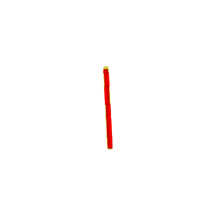 S=S=S=S=S=S=S=S=S=S=S=S=S=S=S=S=S=S=S=S=S=S=S=S=S=S=S=S=S=S=S=S=S=S=S=S=S=S=S=S=S=S=S=S=S=S=S=S=S=S=S=S=S=S=S=S=S=S=S=S=S=S=S=S=S=S=S=S=S=S=S=S=S=S